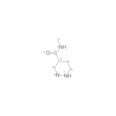 CNC(=O)C1CCN[N]C1